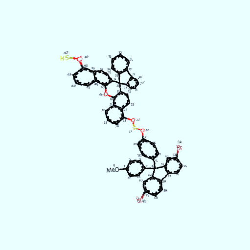 COc1ccc(C2(c3ccc(OSOc4cccc5c6c(ccc45)C4(c5ccccc5-c5ccccc54)c4ccc5c(OS)cccc5c4O6)cc3)c3cc(Br)ccc3-c3ccc(Br)cc32)cc1